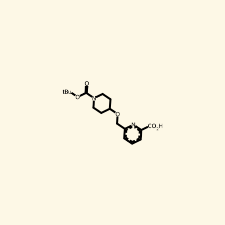 CC(C)(C)OC(=O)N1CCC(OCc2cccc(C(=O)O)n2)CC1